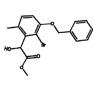 COC(=O)C(O)c1c(C)ccc(OCc2ccccc2)c1Br